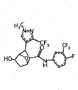 Cn1cc(C2C3OC(CC3O)C2C(=O)Nc2ccc(F)c(C(F)(F)F)c2)c(C(F)(F)F)n1